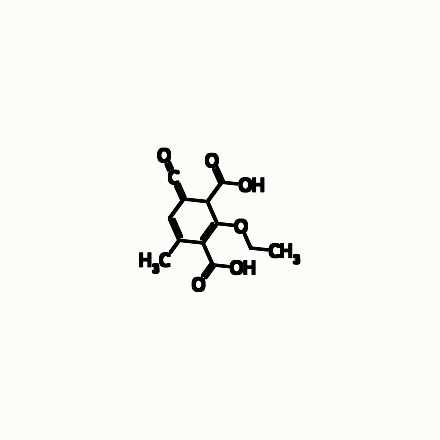 CCOC1=C(C(=O)O)C(C)=CC(=C=O)C1C(=O)O